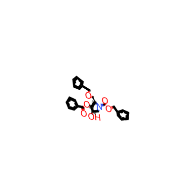 O=C(O[C@@H]1[C@@H](COCc2ccccc2)N(C(=O)OCc2ccccc2)C[C@@H]1O)c1ccccc1